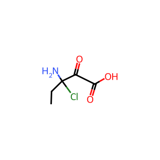 CCC(N)(Cl)C(=O)C(=O)O